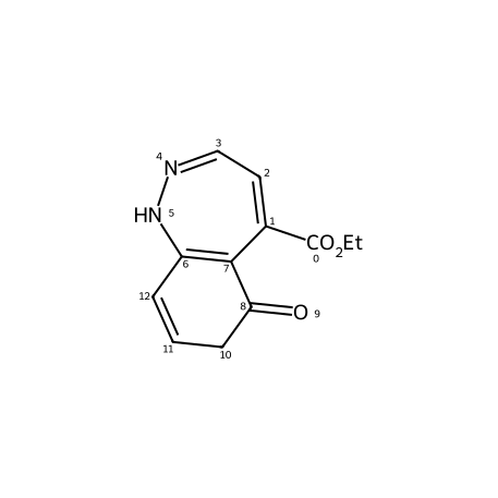 CCOC(=O)C1=CC=NNC2=C1C(=O)CC=C2